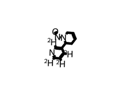 [2H]c1nc([2H])c(C2CC=CCN2N=O)c([2H])c1[2H]